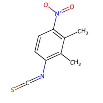 Cc1c(N=C=S)ccc([N+](=O)[O-])c1C